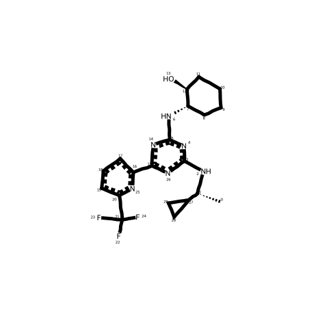 C[C@@H](Nc1nc(N[C@H]2CCCC[C@@H]2O)nc(-c2cccc(C(F)(F)F)n2)n1)C1CC1